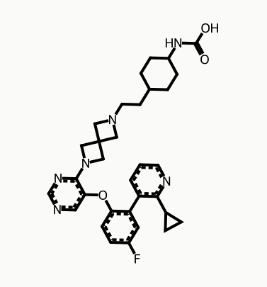 O=C(O)NC1CCC(CCN2CC3(C2)CN(c2ncncc2Oc2ccc(F)cc2-c2cccnc2C2CC2)C3)CC1